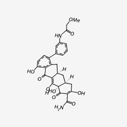 COCC(=O)Nc1cccc(-c2ccc(O)c3c2C[C@H]2C[C@H]4CC(O)=C(C(N)=O)C(=O)[C@@]4(O)C(O)=C2C3=O)c1